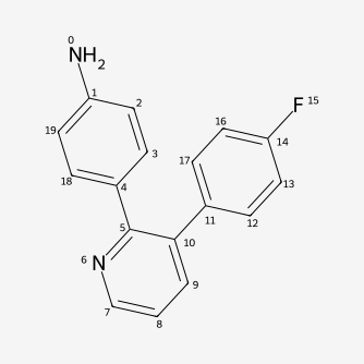 Nc1ccc(-c2ncccc2-c2ccc(F)cc2)cc1